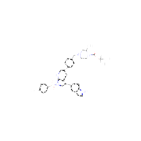 Cc1ccc(S(=O)(=O)n2cc(-c3ccc4[nH]ccc4c3)c3cc(-c4ccc(CN5CCN(C(=O)OC(C)(C)C)C(C)C5)cc4)cnc32)cc1